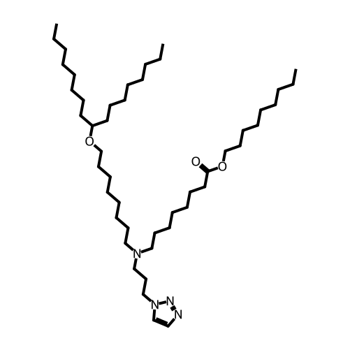 CCCCCCCCCOC(=O)CCCCCCCN(CCCCCCCCOC(CCCCCCCC)CCCCCCCC)CCCn1ccnn1